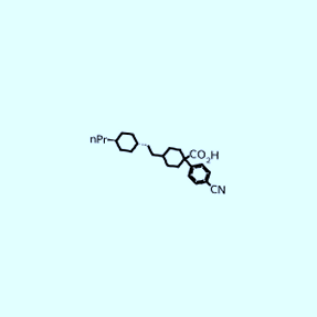 CCC[C@H]1CC[C@H](CCC2CCC(C(=O)O)(c3ccc(C#N)cc3)CC2)CC1